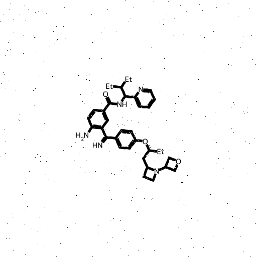 CCC(CC1CCN1C1COC1)Oc1ccc(C(=N)c2cc(C(=O)NC(c3ccccn3)C(CC)CC)ccc2N)cc1